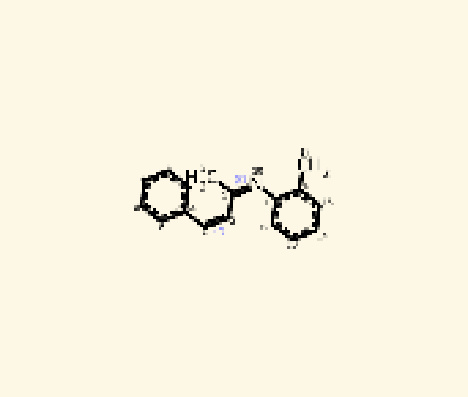 CC(/C=C\c1ccccc1)=N/c1ccccc1C